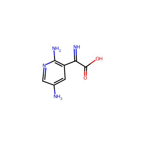 N=C(C(=O)O)c1cc(N)cnc1N